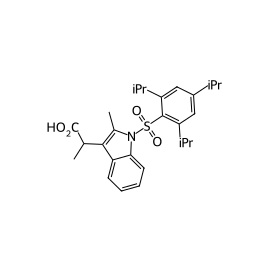 Cc1c(C(C)C(=O)O)c2ccccc2n1S(=O)(=O)c1c(C(C)C)cc(C(C)C)cc1C(C)C